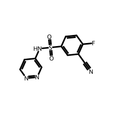 N#Cc1cc(S(=O)(=O)Nc2ccnnc2)ccc1F